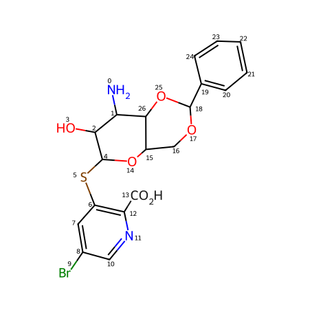 NC1C(O)C(Sc2cc(Br)cnc2C(=O)O)OC2COC(c3ccccc3)OC21